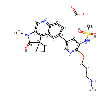 CNCCCOc1ncc(-c2ccc3ncc4c(c3c2)C2(CCC2)C(=O)N4C)cc1NS(C)(=O)=O.O=CO